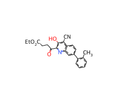 CCOC(=O)CCC(=O)c1nc2cc(-c3ccccc3C)ccc2c(C#N)c1O